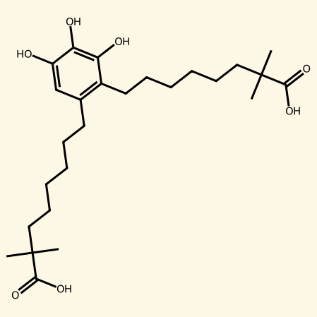 CC(C)(CCCCCCc1cc(O)c(O)c(O)c1CCCCCCC(C)(C)C(=O)O)C(=O)O